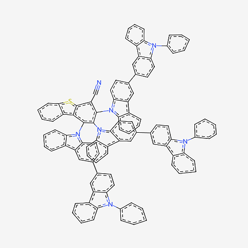 N#Cc1c(-n2c3ccccc3c3cc(-c4ccc5c(c4)c4ccccc4n5-c4ccccc4)ccc32)c(-n2c3ccccc3c3cc(-c4ccc5c(c4)c4ccccc4n5-c4ccccc4)ccc32)c(-n2c3ccccc3c3cc(-c4ccc5c(c4)c4ccccc4n5-c4ccccc4)ccc32)c2c1sc1ccccc12